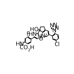 O=C(O)Nc1ccc(-c2cnc([C@]3(O)CCc4cc(-c5cc(Cl)ccc5-n5cnnn5)c[n+]([O-])c43)[nH]2)c(F)c1